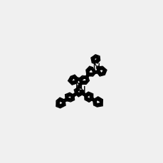 C1=CC2C(C=C1C1C=c3c(n(-c4cc(-c5ccc(-c6ccccc6)cc5)cc(-c5ccc(-c6ccccc6)cc5)n4)c4ccccc34)=CC1)c1ccccc1N2c1ccccc1